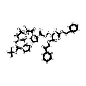 C[C@H]1C[C@@H](C(=O)OC[C@H](NC(=O)OCc2ccccc2)C(=O)OCC(=O)c2ccccc2)N(C(=O)[C@H](C)NC(=O)[C@H](C)N(C)C(=O)[C@@H]2CCCN2C(=O)OC(C)(C)C)C1